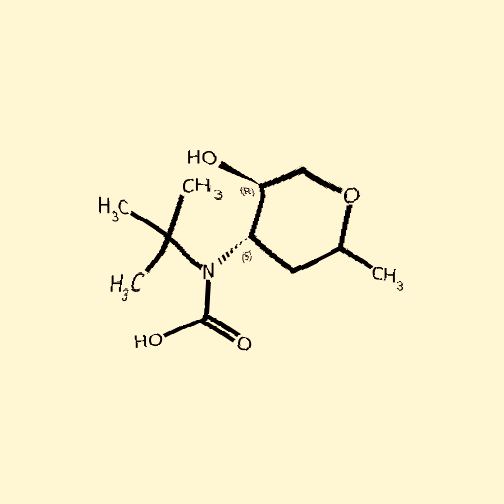 CC1C[C@H](N(C(=O)O)C(C)(C)C)[C@@H](O)CO1